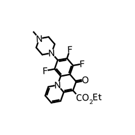 CCOC(=O)c1c(=O)c2c(F)c(F)c(N3CCN(C)CC3)c(F)c2n2ccccc12